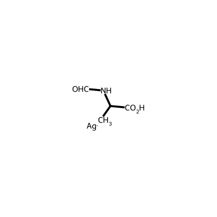 CC(NC=O)C(=O)O.[Ag]